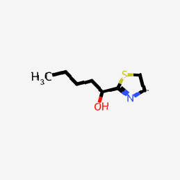 CCCCC(O)C1=N[CH]CS1